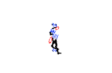 CC(C)c1cc2ccc(C(=O)Nc3ccn(CC(=O)N(C)C)n3)cc2n1C